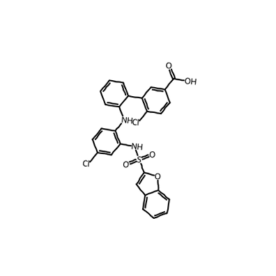 O=C(O)c1ccc(Cl)c(-c2ccccc2Nc2ccc(Cl)cc2NS(=O)(=O)c2cc3ccccc3o2)c1